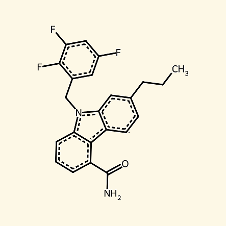 CCCc1c[c]c2c3c(C(N)=O)cccc3n(Cc3cc(F)cc(F)c3F)c2c1